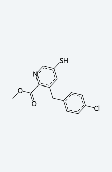 COC(=O)c1ncc(S)cc1Cc1ccc(Cl)cc1